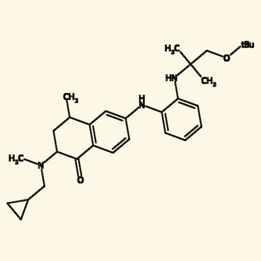 CC1CC(N(C)CC2CC2)C(=O)c2ccc(Nc3ccccc3NC(C)(C)COC(C)(C)C)cc21